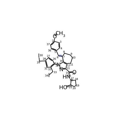 COc1ccc(/C=C2\CCCCc3c(C(=O)N[C@@H]4CCC[C@H]4O)nn(-c4ccc(CI)cc4CI)c32)cc1